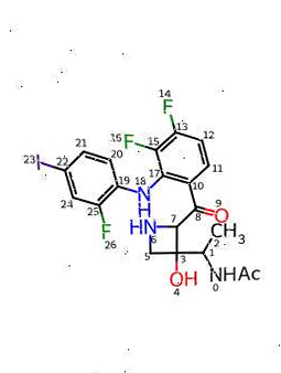 CC(=O)NC(C)C1(O)CNC1C(=O)c1ccc(F)c(F)c1Nc1ccc(I)cc1F